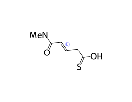 CNC(=O)/C=C/CC(O)=S